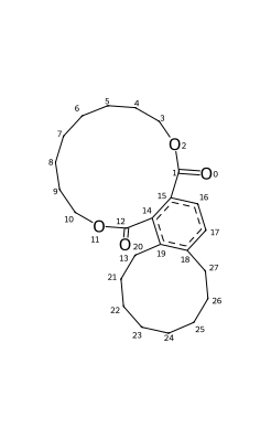 O=C1OCCCCCCCCOC(=O)c2c1ccc1c2CCCCCCCC1